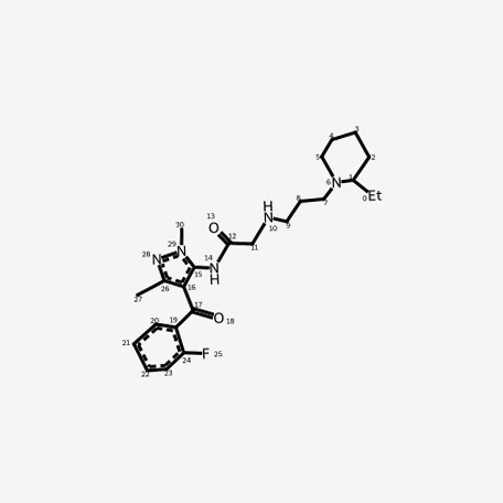 CCC1CCCCN1CCCNCC(=O)Nc1c(C(=O)c2ccccc2F)c(C)nn1C